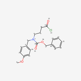 COc1ccc(CN(CCCC(=O)Cl)C(=O)OCc2ccccc2)cc1